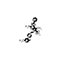 Cc1cc(N2CCN(CCn3c(C(N)=O)c(C)c4c3nc(N)n3nc(-c5ccccn5)nc43)CC2)c(F)cn1